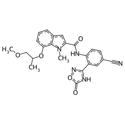 COCC(C)Oc1cccc2cc(C(=O)Nc3ccc(C#N)cc3-c3noc(=O)[nH]3)n(C)c12